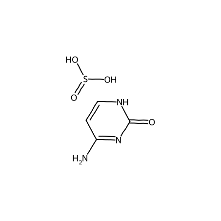 Nc1cc[nH]c(=O)n1.O=S(O)O